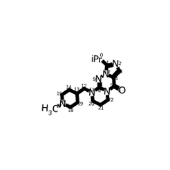 CC(C)c1ncc2c(=O)n3c(nn12)N(CC1CCN(C)CC1)CCC3